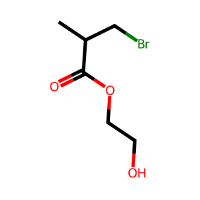 CC(CBr)C(=O)OCCO